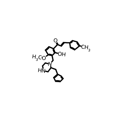 COc1ccc(C(=O)/C=C/c2ccc(C)cc2)c(O)c1CN1CCNCC1Cc1ccccc1